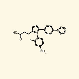 Cc1cc(N)ccc1-n1c(CCC(=O)O)ccc1-c1ccc(-n2ccnc2)cc1